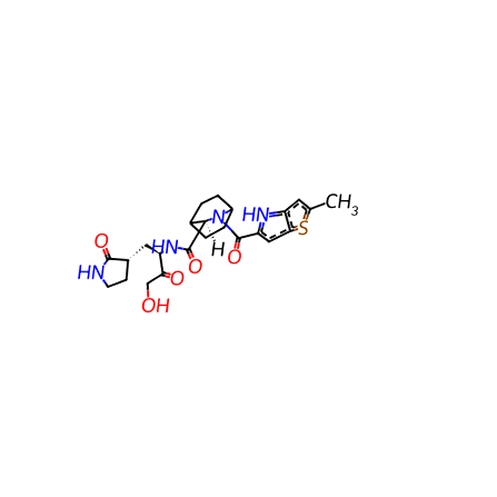 Cc1cc2[nH]c(C(=O)N3C4CCC(CC4)[C@@H]3C(=O)N[C@H](C[C@@H]3CCNC3=O)C(=O)CO)cc2s1